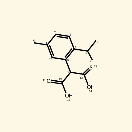 Cc1ccc(C(C)C)c(C(C(=O)O)C(O)=S)c1